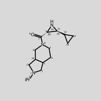 CC(C)N1CC2CCN(C(=O)[C@@H]3N[C@H]3C3CC3)CC2C1